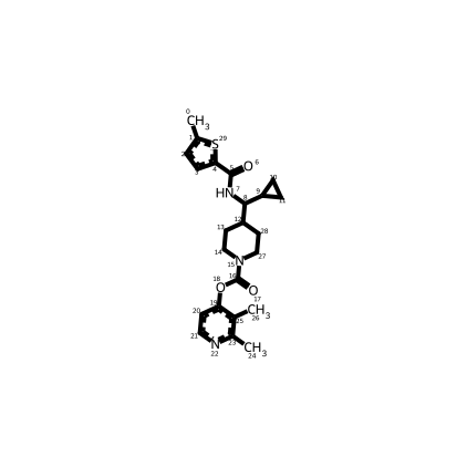 Cc1ccc(C(=O)NC(C2CC2)C2CCN(C(=O)Oc3ccnc(C)c3C)CC2)s1